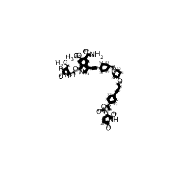 CC[C@@H]1[C@H](F)C(=O)N[C@@H]1COc1ncc(C#C[C@H]2CC[C@H](CN3CCC(OCCC#Cc4ccc([C@H]5CN(C6CCC(=O)NC6=O)C(=O)O5)cc4)CC3)CC2)c2cc(C(N)=O)c(OC)cc12